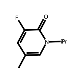 Cc1cc(F)c(=O)n(C(C)C)c1